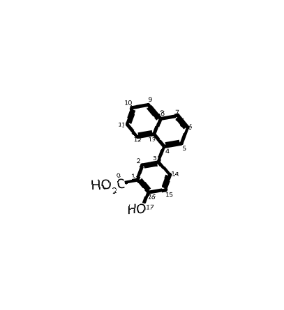 O=C(O)c1cc(-c2cccc3ccccc23)ccc1O